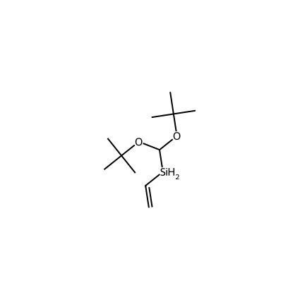 C=C[SiH2]C(OC(C)(C)C)OC(C)(C)C